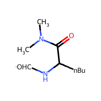 CCCCC(N[C]=O)C(=O)N(C)C